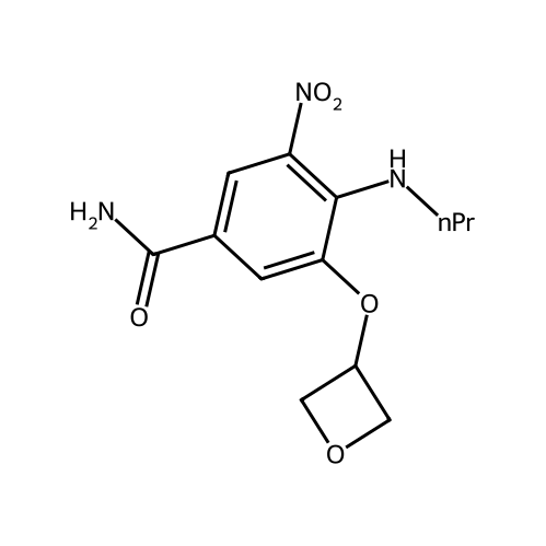 CCCNc1c(OC2COC2)cc(C(N)=O)cc1[N+](=O)[O-]